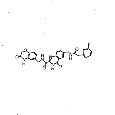 O=C(Cc1cccc(F)c1)NCc1ccc2nc(C(=O)NCc3ccc4c(c3)NC(=O)CO4)[nH]c(=O)c2c1